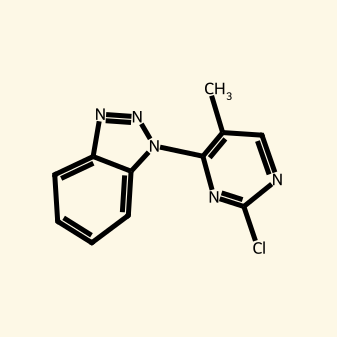 Cc1cnc(Cl)nc1-n1nnc2ccccc21